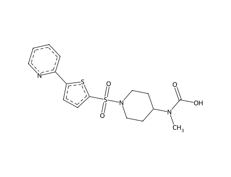 CN(C(=O)O)C1CCN(S(=O)(=O)c2ccc(-c3ccccn3)s2)CC1